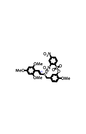 COc1cc(OC)c(/C=C/[S+]([O-])Cc2ccc(OC)c(OS(=O)(=O)c3ccc([N+](=O)[O-])cc3[N+](=O)[O-])c2)c(OC)c1